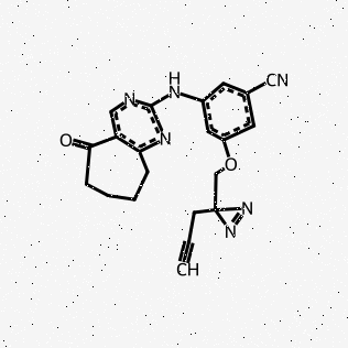 C#CCC1(COc2cc(C#N)cc(Nc3ncc4c(n3)CCCCC4=O)c2)N=N1